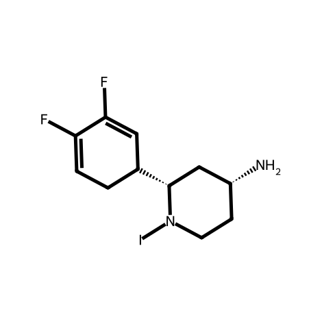 N[C@@H]1CCN(I)[C@H](C2C=C(F)C(F)=CC2)C1